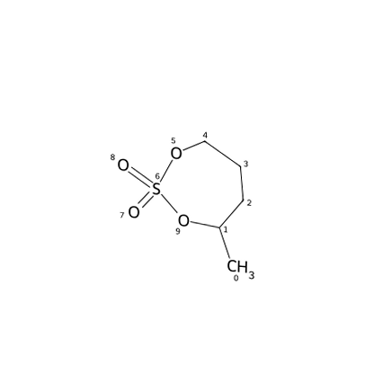 CC1CCCOS(=O)(=O)O1